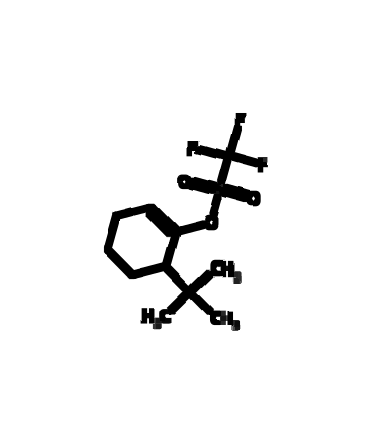 CC(C)(C)C1CCCC=C1OS(=O)(=O)C(F)(F)F